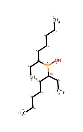 CCCCCC(CC)P(O)C(CC)CCCCC